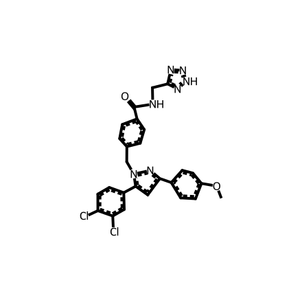 COc1ccc(-c2cc(-c3ccc(Cl)c(Cl)c3)n(Cc3ccc(C(=O)NCc4nn[nH]n4)cc3)n2)cc1